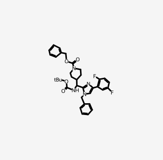 CC(C)(C)OC(=O)NC(c1nc(-c2cc(F)ccc2F)cn1Cc1ccccc1)C1CCN(C(=O)OCc2ccccc2)CC1